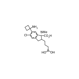 CN[C@@]1(C(=O)O)c2cc(C3(N)CCC3)c(Cl)cc2CC1CCCB(O)O